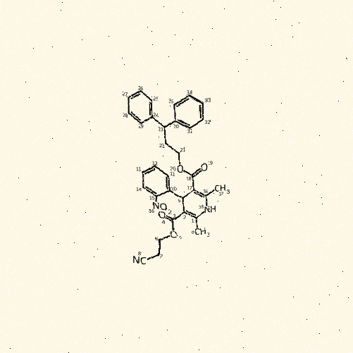 CC1=C(C(=O)OCCC#N)C(c2ccccc2[N+](=O)[O-])C(C(=O)OCCC(c2ccccc2)c2ccccc2)=C(C)N1